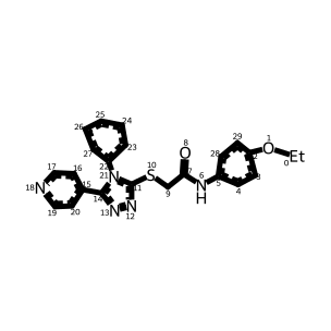 CCOc1ccc(NC(=O)CSc2nnc(-c3ccncc3)n2-c2ccccc2)cc1